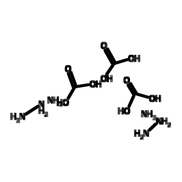 N.N.NN.NN.O=C(O)O.O=C(O)O.O=C(O)O